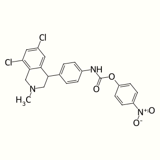 CN1Cc2c(Cl)cc(Cl)cc2C(c2ccc(NC(=O)Oc3ccc([N+](=O)[O-])cc3)cc2)C1